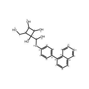 OCC1C(O)C(O)C1(O)C(O)Oc1ccc(-c2cccc3cnncc23)cc1